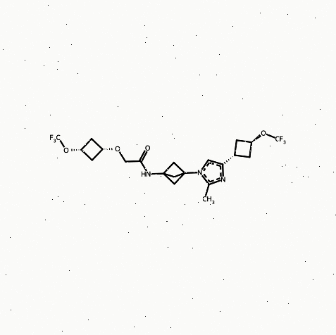 Cc1nc([C@H]2C[C@H](OC(F)(F)F)C2)cn1C12CC(NC(=O)CO[C@H]3C[C@@H](OC(F)(F)F)C3)(C1)C2